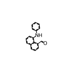 O=Cc1cccc2cccc(Nc3ccccc3)c12